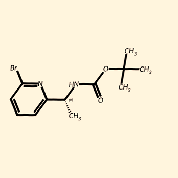 C[C@@H](NC(=O)OC(C)(C)C)c1cccc(Br)n1